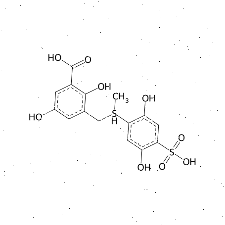 C[SH](Cc1cc(O)cc(C(=O)O)c1O)c1cc(O)c(S(=O)(=O)O)cc1O